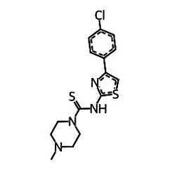 CN1CCN(C(=S)Nc2nc(-c3ccc(Cl)cc3)cs2)CC1